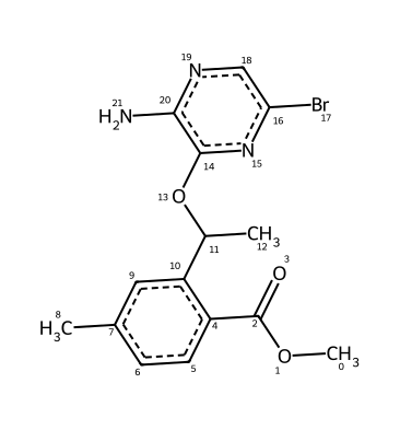 COC(=O)c1ccc(C)cc1C(C)Oc1nc(Br)cnc1N